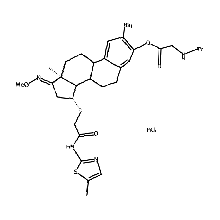 CO/N=C1\C[C@@H](CCC(=O)Nc2ncc(C)s2)C2C3CCc4cc(OC(=O)CNC(C)C)c(C(C)(C)C)cc4C3CC[C@]12C.Cl